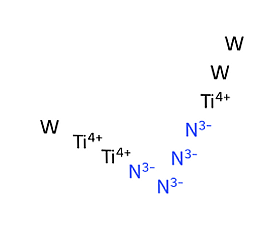 [N-3].[N-3].[N-3].[N-3].[Ti+4].[Ti+4].[Ti+4].[W].[W].[W]